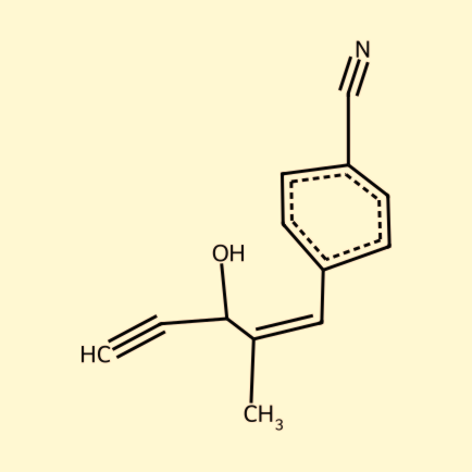 C#CC(O)C(C)=Cc1ccc(C#N)cc1